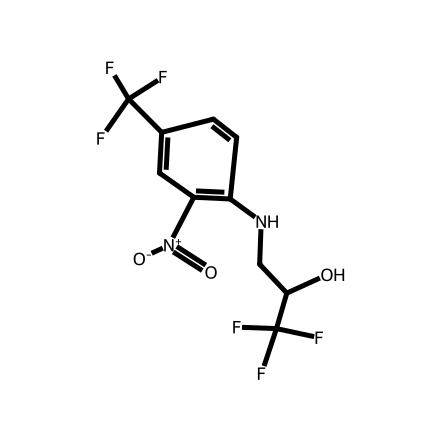 O=[N+]([O-])c1cc(C(F)(F)F)ccc1NCC(O)C(F)(F)F